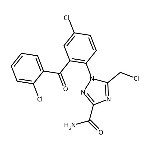 NC(=O)c1nc(CCl)n(-c2ccc(Cl)cc2C(=O)c2ccccc2Cl)n1